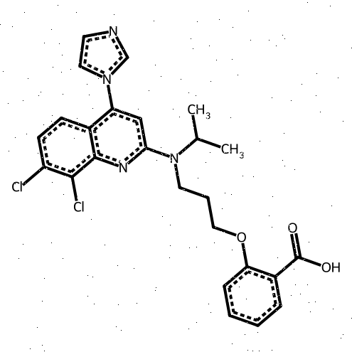 CC(C)N(CCCOc1ccccc1C(=O)O)c1cc(-n2ccnc2)c2ccc(Cl)c(Cl)c2n1